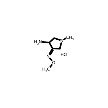 CON=C1CN(C)CC1N.Cl